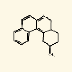 CC1CCC2CN=c3ccc4ccccc4c3=C2C1